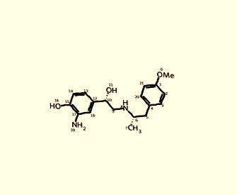 COc1ccc(C[C@H](C)NC[C@@H](O)c2ccc(O)c(N)c2)cc1